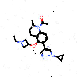 CCN1CC(Oc2c(/C(C=N)=C/NC3CC3)ccc3c2CCC(C)N3C(C)=O)C1